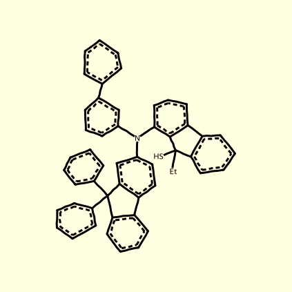 CCC1(S)c2ccccc2-c2cccc(N(c3cccc(-c4ccccc4)c3)c3ccc4c(c3)C(c3ccccc3)(c3ccccc3)c3ccccc3-4)c21